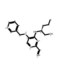 CCC[C@@H](CO)Nc1nc(C=N)ncc1OCc1cccnc1